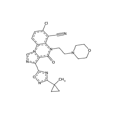 CC1(c2noc(-c3ncn4c3c(=O)n(CCN3CCOCC3)c3c(C#N)c(Cl)ccc34)n2)CC1